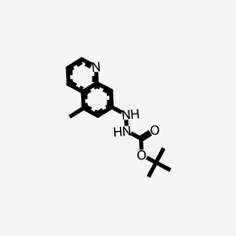 Cc1cc(NNC(=O)OC(C)(C)C)cc2ncccc12